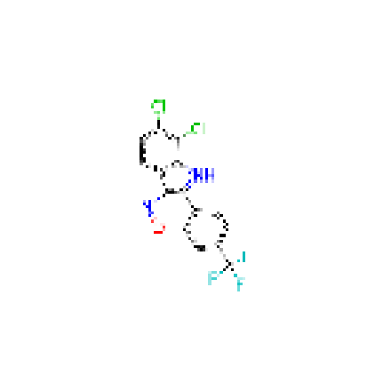 O=Nc1c(-c2ccc(C(F)(F)F)cc2)[nH]c2c(Cl)c(Cl)ccc12